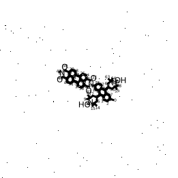 Cc1ccc2c(=C3CC(C)(C)N(O)C(C)(C)C3)c3cc(N4C(=O)c5ccc6c7ccc8c9c(ccc(c%10ccc(c5c6%10)C4=O)c97)C(=O)N(C)C8=O)ccc3c(=C3CC(C)(C)N(O)C(C)(C)C3)c2c1